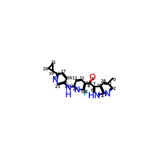 Cc1cnc2[nH]cc(C(=O)c3ccc(Nc4ccc(C5CC5)nc4)nc3F)c2c1